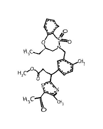 CC[C@@H]1CN(Cc2cc(C(CC(=O)OC)c3nc(C)c(C(C)=O)s3)ccc2C)S(=O)(=O)c2ccccc2O1